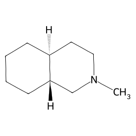 CN1CC[C@@H]2CCCC[C@H]2C1